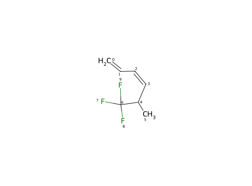 C=C/C=C\C(C)C(F)(F)F